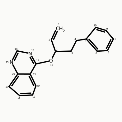 C=CC(CCc1ccccc1)Oc1ncnc2ccccc12